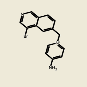 Nc1cc[n+](Cc2ccc3cncc(Br)c3c2)cc1